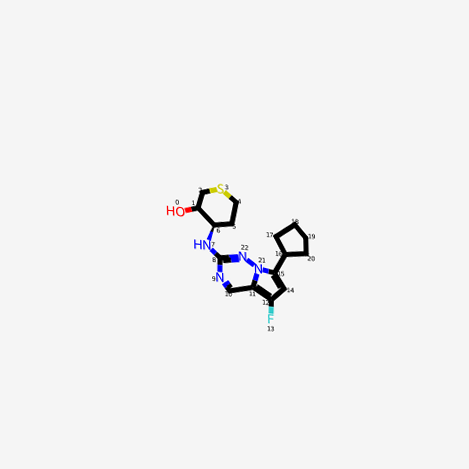 OC1CSCC[C@H]1Nc1ncc2c(F)cc(C3CCCC3)n2n1